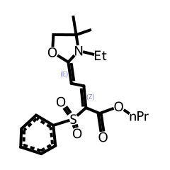 CCCOC(=O)/C(=C/C=C1/OCC(C)(C)N1CC)S(=O)(=O)c1ccccc1